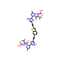 COC(=O)NC(C(=O)N1CC(C)CC1c1nc(C#Cc2ccc3cc(C#Cc4c[nH]c(C5CC(C)CN5C(=O)C(NC(=O)OC)C(C)C)n4)sc3c2)c[nH]1)C(C)C